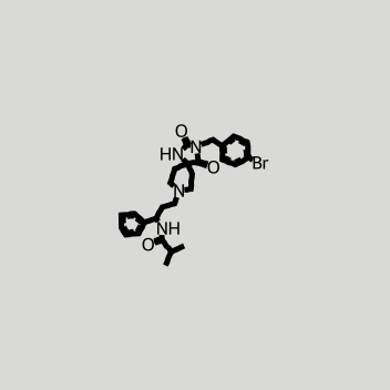 CC(C)C(=O)NC(CCN1CCC2(CC1)NC(=O)N(Cc1ccc(Br)cc1)C2=O)c1ccccc1